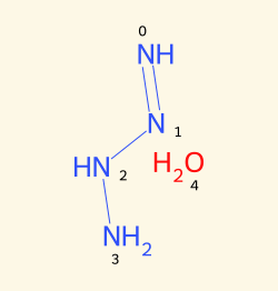 N=NNN.O